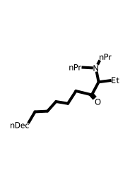 CCCCCCCCCCCCCCCC(=O)C(CC)N(CCC)CCC